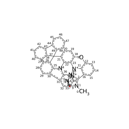 Cn1c2[n+](c3cnccc31)[N+]13c4c(cccc4-2)Oc2ccc4c(c21)-n1c2c(cccc2c2ccc[n+]3c21)C41c2ccccc2-c2ccccc21